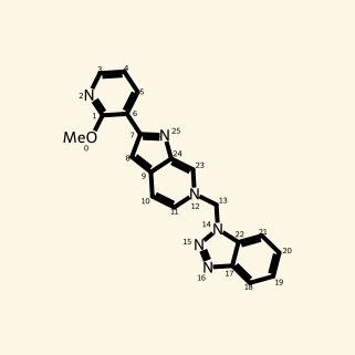 COc1ncccc1-c1cc2ccn(Cn3nnc4ccccc43)cc-2n1